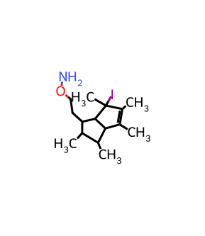 CC1=C(C)C(C)(I)C2C(CCON)C(C)C(C)C12